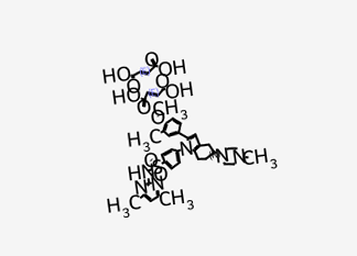 COc1ccc(-c2cc3c(n2-c2ccc(S(=O)(=O)Nc4nc(C)cc(C)n4)cc2)CC[C@@H](N2CCN(C)CC2)C3)cc1C.O=C(O)/C=C/C(=O)O.O=C(O)/C=C/C(=O)O